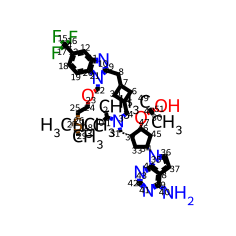 CC(C)N(CC1CC(Cc2nc3cc(C(F)(F)F)ccc3n2COCCS(C)(C)C)C1)C[C@H]1C[C@@H](n2ccc3c(N)ncnc32)C[C@@H]1OC(C)(C)O